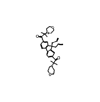 C=CCC1(CC=C)c2cc(C(=O)C(C)(C)N3CCOCC3)ccc2-c2ccc(C(=O)C(C)(C)N3CCOCC3)cc21